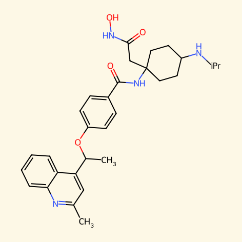 Cc1cc(C(C)Oc2ccc(C(=O)NC3(CC(=O)NO)CCC(NC(C)C)CC3)cc2)c2ccccc2n1